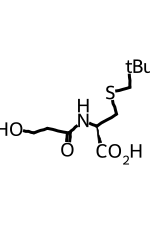 CC(C)(C)CSC[C@H](NC(=O)CCO)C(=O)O